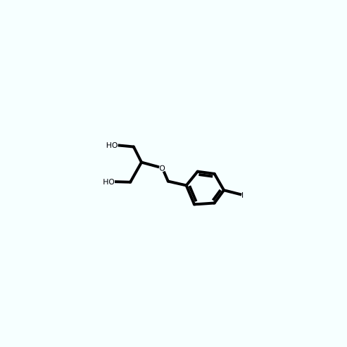 OCC(CO)OCc1ccc(I)cc1